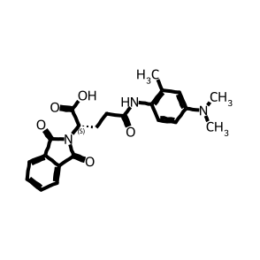 Cc1cc(N(C)C)ccc1NC(=O)CC[C@@H](C(=O)O)N1C(=O)c2ccccc2C1=O